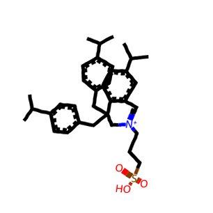 CC(C)c1ccc(CC2(Cc3ccc(C(C)C)cc3)C[N+](CCCS(=O)(=O)O)=Cc3cc(C(C)C)ccc32)cc1